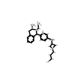 C[C@@H]1Cc2ccccc2C(c2ccc(NC3CN(CCCF)C3)cn2)N1CC(F)(F)F